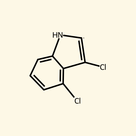 Clc1[c][nH]c2cccc(Cl)c12